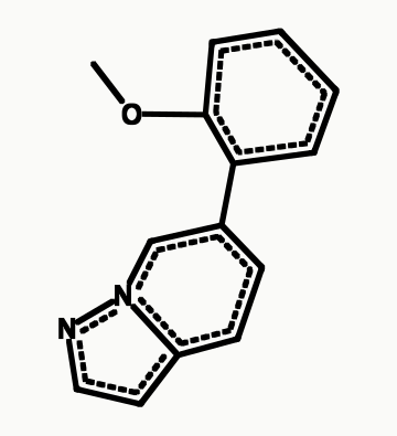 COc1ccccc1-c1ccc2ccnn2c1